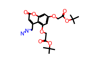 CC(C)(C)OC(=O)COc1cc(OCC(=O)OC(C)(C)C)c2c(C=[N+]=[N-])cc(=O)oc2c1